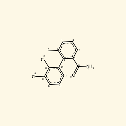 Cc1cccc(C(N)=O)c1-c1cccc(Cl)c1Cl